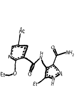 CCOc1ncc(C(C)=O)cc1C(=O)Nc1c(C(N)=O)n[nH]c1CC